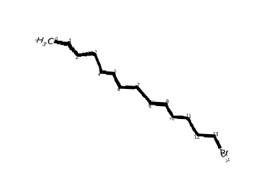 [CH2]CCCCCCCCCCCCCBr